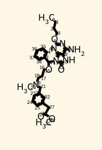 CCCCOc1nc(N)c2[nH]c(=O)n(C(OCCCN(C)Cc3cccc(CC(=O)OC)c3)c3ccccc3)c2n1